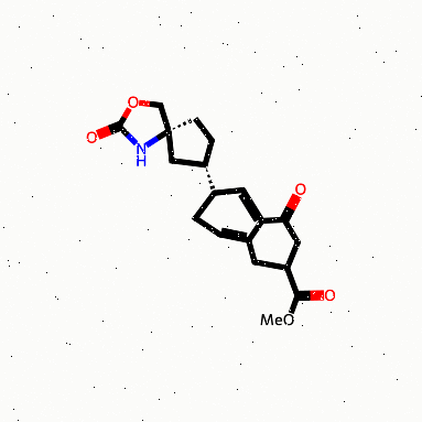 COC(=O)C1CC(=O)C2=CC([C@H]3CC[C@]4(COC(=O)N4)C3)CC=C2C1